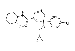 O=C(N[C@@H]1CCCC[C@H]1O)C1=CC(OCC2CC2)(c2ccc(Cl)cc2)CN=C1